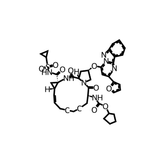 O=C(N[C@H]1CCCCC/C=C\[C@@H]2C[C@@]2(C(=O)NS(=O)(=O)C2CC2)NC(=O)[C@@H]2C[C@@H](Oc3cc(-c4ccco4)nc4c5ccccc5nn34)CN2C1=O)OC1CCCC1